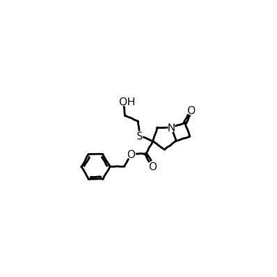 O=C1CC2CC(SCCO)(C(=O)OCc3ccccc3)CN12